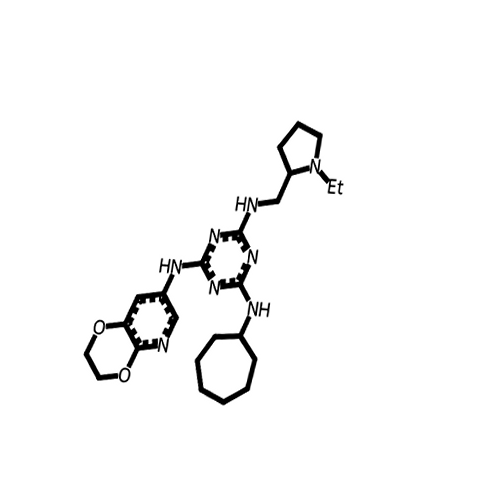 CCN1CCCC1CNc1nc(Nc2cnc3c(c2)OCCO3)nc(NC2CCCCCC2)n1